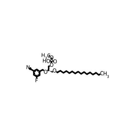 CCCCCCCCCCCCCCCCOC[C@@H](COP(=O)(O)OC)OCc1cc(F)cc(C#N)c1